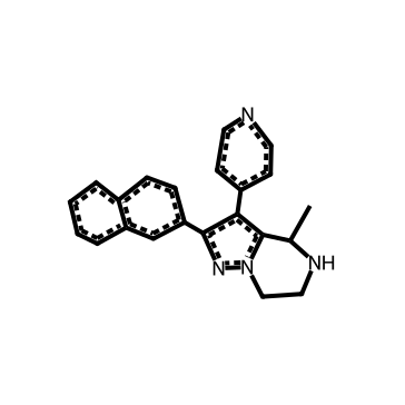 CC1NCCn2nc(-c3ccc4ccccc4c3)c(-c3ccncc3)c21